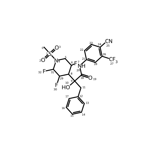 CS(=O)(=O)N1CC(F)C(C(O)(Cc2ccccc2)C(=O)Nc2ccc(C#N)c(C(F)(F)F)c2)C(F)C1F